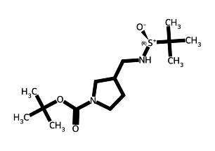 CC(C)(C)OC(=O)N1CCC(CN[S@@+]([O-])C(C)(C)C)C1